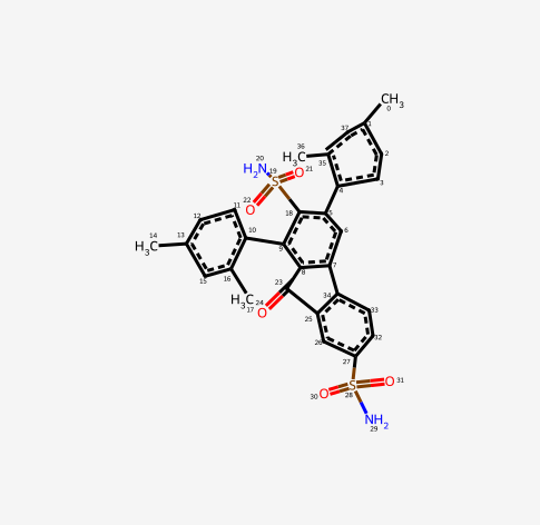 Cc1ccc(-c2cc3c(c(-c4ccc(C)cc4C)c2S(N)(=O)=O)C(=O)c2cc(S(N)(=O)=O)ccc2-3)c(C)c1